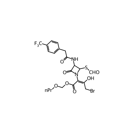 CCCOCOC(=O)C(=C(O)CBr)N1C(=O)C(NC(=O)Cc2ccc(C(F)(F)F)cc2)C1SC=O